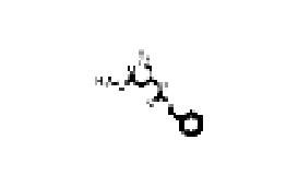 CC[C@H](CC(=O)OC)NC(=O)OCc1ccccc1